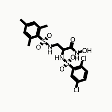 Cc1cc(C)c(S(=O)(=O)NCC(NS(=O)(=O)c2cc(Cl)ccc2Cl)C(=O)NO)c(C)c1